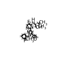 CC(C)C[C@H](CO)Nc1nc(-c2cc(-c3ccon3)n(CC3=CC=CCC3(C)F)n2)ncc1F